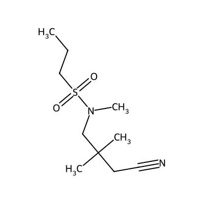 CCCS(=O)(=O)N(C)CC(C)(C)CC#N